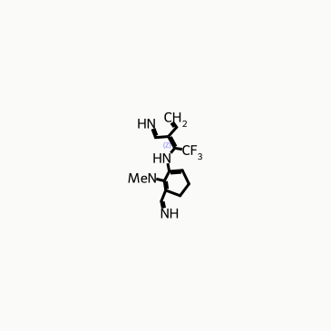 C=C/C(C=N)=C(/NC1=CCCC(C=N)=C1NC)C(F)(F)F